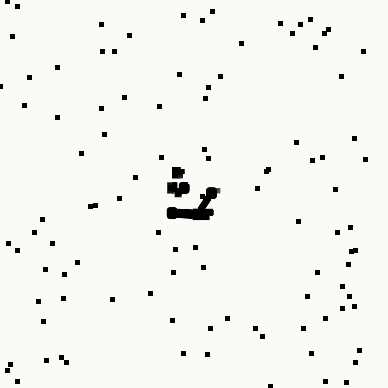 O.O=[NH+][O-].[Er]